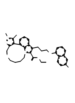 CCOC(=O)c1c(CCCOc2cccc3cc(F)ccc23)c2cccc3c2n1CCCCOCc1nn(C)c(C)c1-3